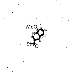 CCC(=O)c1cnc2c(OC)cccc2c1